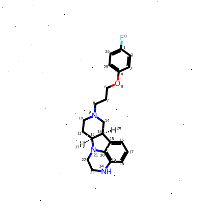 Fc1ccc(OCCCN2CC[C@H]3[C@@H](C2)c2cccc4c2N3CCN4)cc1